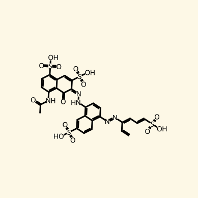 C=CC(=C\C=C\S(=O)(=O)O)/N=N/c1ccc(N/N=C2\C(=O)c3c(NC(C)=O)ccc(S(=O)(=O)O)c3C=C2S(=O)(=O)O)c2cc(S(=O)(=O)O)ccc12